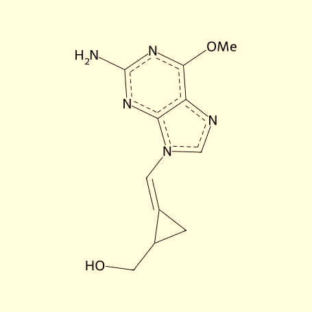 COc1nc(N)nc2c1ncn2C=C1CC1CO